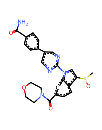 C[S+]([O-])c1cn(-c2ncc(-c3ccc(C(N)=O)cc3)cn2)c2cc(C(=O)N3CCOCC3)ccc12